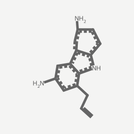 C=CCc1cc(N)cc2c1[nH]c1ccc(N)cc12